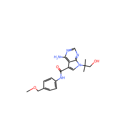 COCc1ccc(NC(=O)c2cn(C(C)(C)CO)c3ncnc(N)c23)cc1